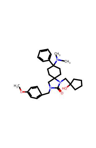 COc1ccc(CN2CC3(CCC(c4ccccc4)(N(C)C)CC3)N(CC3(O)CCCC3)C2=O)cc1